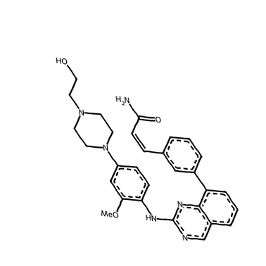 COc1cc(N2CCN(CCO)CC2)ccc1Nc1ncc2cccc(-c3cccc(C=CC(N)=O)c3)c2n1